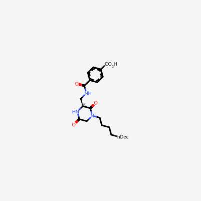 CCCCCCCCCCCCCCN1CC(=O)N[C@@H](CNC(=O)c2ccc(C(=O)O)cc2)C1=O